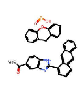 COC(=O)c1ccc2[nH]c(-c3cccc4cc5ccccc5cc34)nc2c1.O=PO.c1ccc2c(c1)Cc1ccccc1O2